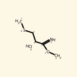 COC(=N)CCSC.Cl